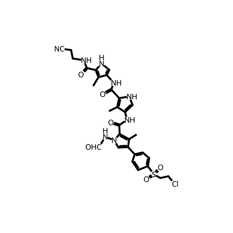 Cc1c(NC(=O)c2[nH]cc(NC(=O)c3c(C)c(-c4ccc(S(=O)(=O)CCCl)cc4)cn3NC=O)c2C)c[nH]c1C(=O)NCCC#N